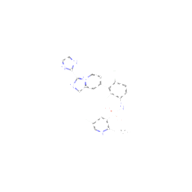 COc1ncc(Cl)cc1S(=O)(=O)Nc1ccc(F)c(-c2ccn3c(-c4ncc[nH]4)ncc3c2)c1F